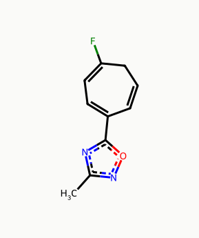 Cc1noc(C2=CC=C(F)CC=C2)n1